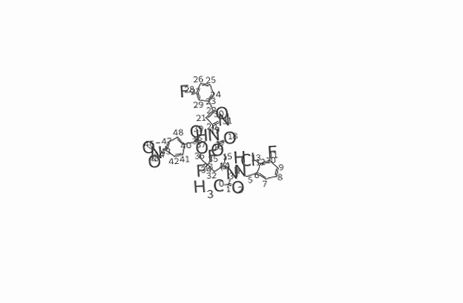 CC(=O)N(NCc1cccc(F)c1Cl)[C@H](COC(=O)Nc1cc(-c2cccc(F)c2)on1)CC(F)(F)COC(=O)c1ccc([N+](=O)[O-])cc1